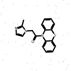 Cc1nccn1CC(=O)N1c2ccccc2Sc2ccccc21